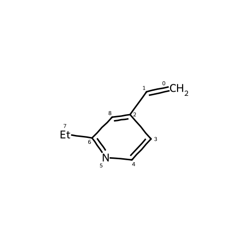 C=Cc1ccnc(CC)c1